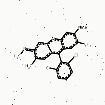 C/N=c1/cc2oc3cc(NC)c(C)cc3c(-c3c(Cl)cccc3Cl)c-2cc1C